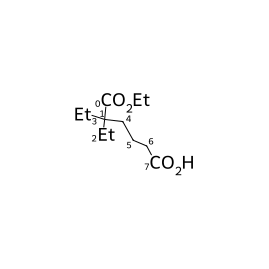 CCOC(=O)C(CC)(CC)CCCC(=O)O